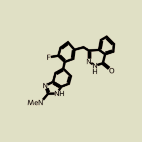 CNc1nc2cc(-c3cc(Cc4n[nH]c(=O)c5ccccc45)ccc3F)ccc2[nH]1